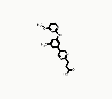 COc1ccnc(Nc2cc(C)cc(-c3cnc(CCC(=O)O)nc3)c2)n1